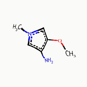 COc1cn(C)cc1N